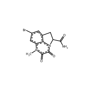 Cn1c(=O)c(=O)n2c3c(cc(Br)cc31)CC2C(N)=O